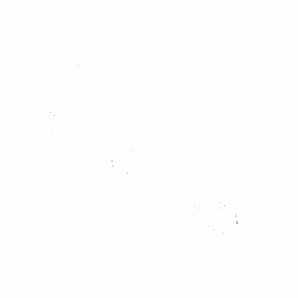 CCc1cnc(N2CCC(COc3ccc(C4CCC(C(=O)N(C)CCCO)CC4)cc3)CC2)nc1